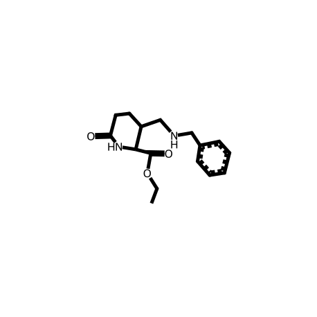 CCOC(=O)C1NC(=O)CCC1CNCc1ccccc1